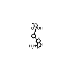 CN1CC[C@@](O)(C#Cc2cccc(-c3cc4c(N)ncnc4cn3)c2)C1=O